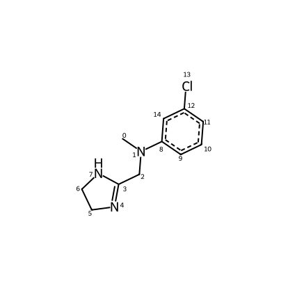 CN(CC1=NCCN1)c1cccc(Cl)c1